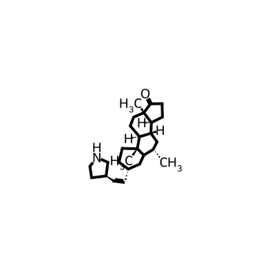 C[C@H]1C[C@@H]2[C@H](CC[C@]3(C)C(=O)CC[C@@H]23)[C@@]2(C)CC[C@@H](/C=C\[C@H]3CCNC3)CC12